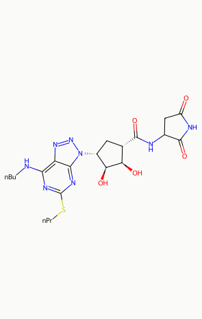 CCCCNc1nc(SCCC)nc2c1nnn2[C@@H]1C[C@H](C(=O)NC2CC(=O)NC2=O)[C@@H](O)[C@H]1O